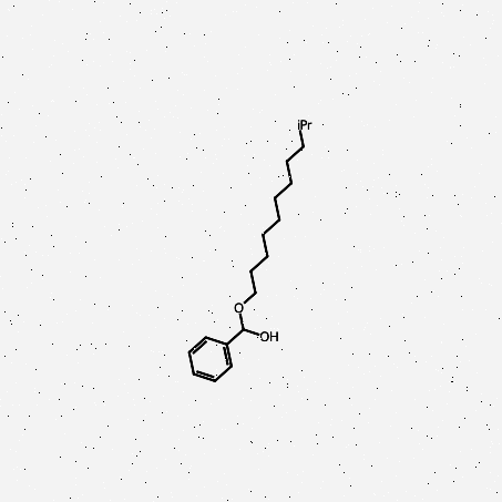 CC(C)CCCCCCCCCOC(O)c1ccccc1